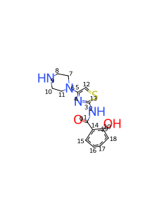 O=C(Nc1nc(N2CCNCC2)cs1)c1ccccc1O